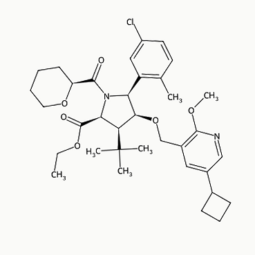 CCOC(=O)[C@@H]1[C@H](C(C)(C)C)[C@H](OCc2cc(C3CCC3)cnc2OC)[C@H](c2cc(Cl)ccc2C)N1C(=O)[C@@H]1CCCCO1